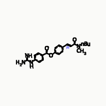 CCCCN(C)C(=O)/C=C/c1ccc(OC(=O)c2ccc(NC(=N)N)cc2)cc1